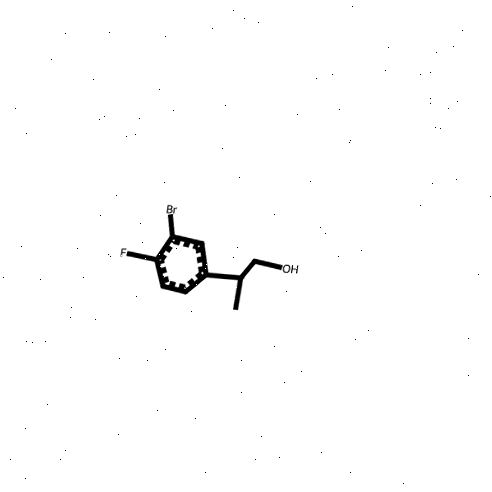 C[C](CO)c1ccc(F)c(Br)c1